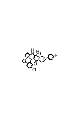 CC1=C(C(=O)N2CCN(c3ccc(F)cc3)CC2)C(c2cc(Cl)ccc2Cl)n2nccc2N1